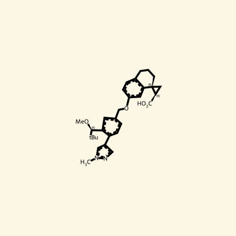 CO[C@@H](c1cc(COc2ccc3c(c2)[C@]2(CCC3)C[C@H]2C(=O)O)ccc1-c1cnn(C)c1)C(C)(C)C